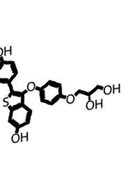 OC[C@@H](O)COc1ccc(Oc2c(-c3ccc(O)cc3)sc3cc(O)ccc23)cc1